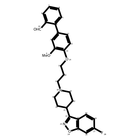 COc1cc(-c2ccccc2C=O)ccc1OCCCN1CCC(c2noc3cc(F)ccc23)CC1